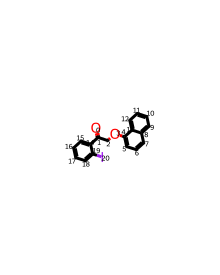 O=C(COc1cccc2ccccc12)c1ccccc1I